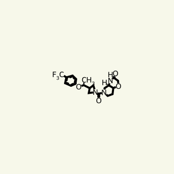 C[C@H](Oc1ccc(C(F)(F)F)cc1)C1CN(C(=O)N2CCC3OCC(=O)N[C@@H]3C2)C1